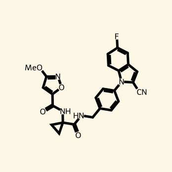 COc1cc(C(=O)NC2(C(=O)NCc3ccc(-n4c(C#N)cc5cc(F)ccc54)cc3)CC2)on1